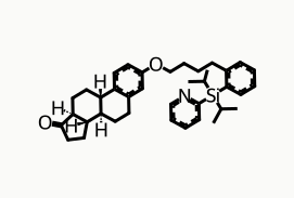 CC(C)[Si](c1ccccn1)(c1ccccc1CCCCOc1ccc2c(c1)CC[C@H]1[C@@H]3CCC(=O)[C@H]3CC[C@H]21)C(C)C